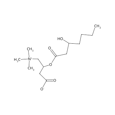 CCCCC(O)CC(=O)OC(CC(=O)[O-])C[N+](C)(C)C